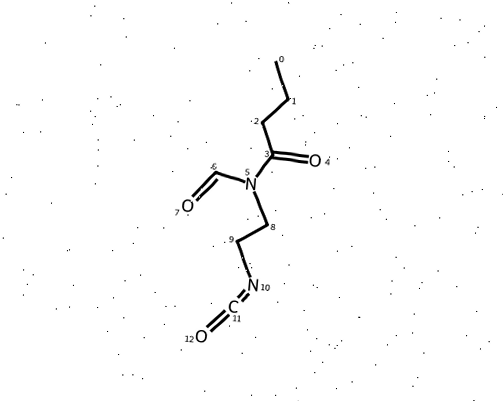 CCCC(=O)N(C=O)CCN=C=O